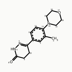 Cc1cc(C2=NNC(=O)CC2)ccc1N1CCOCC1